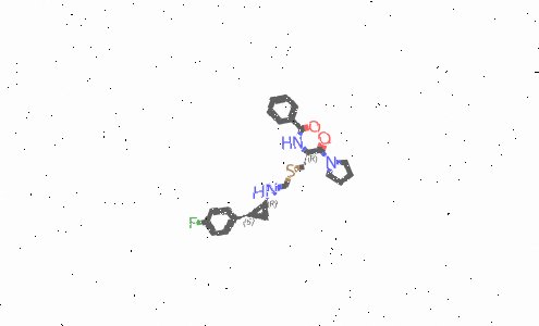 O=C(N[C@@H](CSCN[C@@H]1C[C@H]1c1ccc(F)cc1)C(=O)N1CCCC1)c1ccccc1